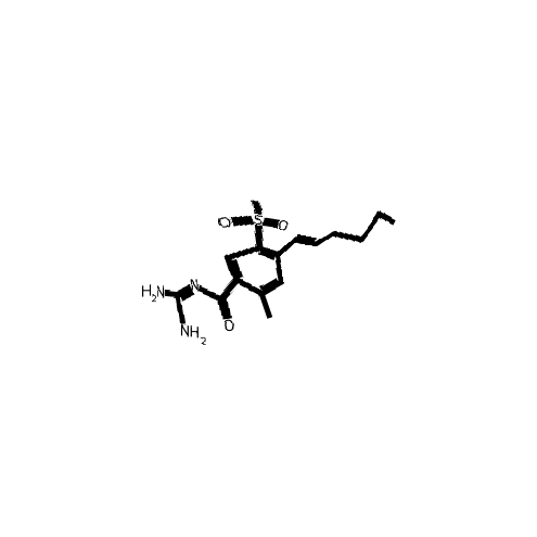 CCCCC=Cc1cc(C)c(C(=O)N=C(N)N)cc1S(C)(=O)=O